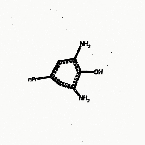 CCCc1cc(N)c(O)c(N)c1